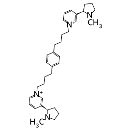 CN1CCC[C@@H]1c1ccc[n+](CCCCc2ccc(CCCC[n+]3cccc([C@H]4CCCN4C)c3)cc2)c1